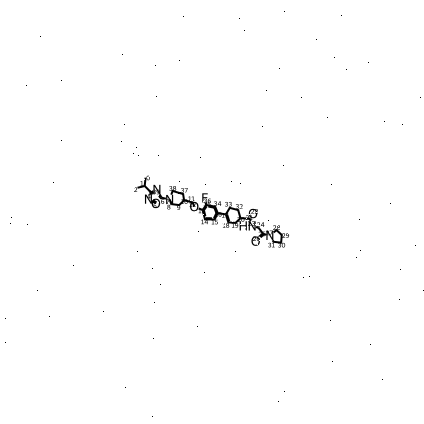 CC(C)c1noc(N2CCC(COc3ccc(C4=CCC(C(=O)NCC(=O)N5CCCC5)CC4)cc3F)CC2)n1